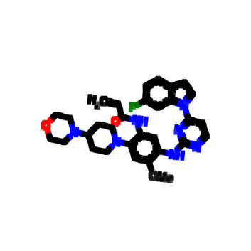 C=CC(=O)Nc1cc(Nc2nccc(-n3ccc4ccc(F)cc43)n2)c(OC)cc1N1CCC(N2CCOCC2)CC1